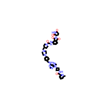 Cc1cccc(C(=O)NC2CC(n3cnc4c(NCc5ccc(N6CCN(CC7CCN(C(=O)CNc8cccc9c8C(=O)N([C@H]8CCC(=O)NC8=O)C9=O)CC7)CC6)cc5)ncnc43)C2)n1